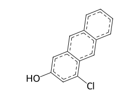 Oc1cc(Cl)c2cc3ccccc3cc2c1